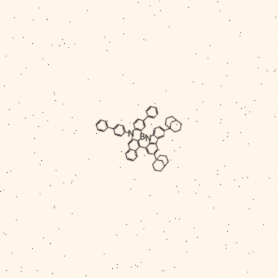 c1ccc(-c2ccc(N3c4ccc(-c5ccccc5)cc4B4c5c3cc3ccccc3c5-c3cc(C56CCCC(CCC5)C6)cc5c6cc(C78CCCC(CCC7)C8)ccc6n4c35)cc2)cc1